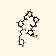 O=C(Nc1cccc(-c2ccnc3cc(-c4ccnc(NCCCN5CCCCC5)c4)nn23)c1)c1cccc(C(F)(F)F)c1